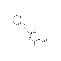 C=CCC(C)OC(=O)/C=C/c1ccccc1